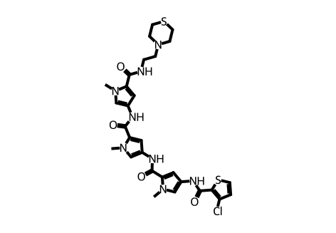 Cn1cc(NC(=O)c2cc(NC(=O)c3cc(NC(=O)c4sccc4Cl)cn3C)cn2C)cc1C(=O)NCCN1CCSCC1